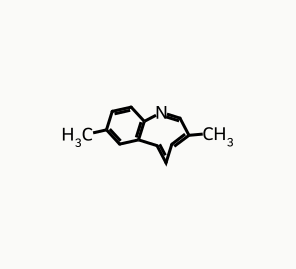 CC1=C\C=C\c2cc(C)ccc2/N=C\1